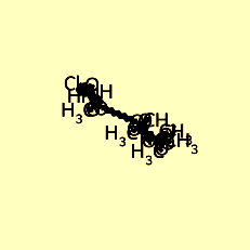 COc1cc(C2NC(=O)c3cc(Cl)ccc3N2)ccc1OCCCCCCCCCCOc1c(OC)cc(-c2cc(-c3cc(OC)c(OC)c(OC)c3)on2)cc1OC